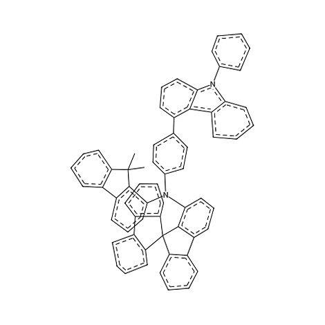 CC1(C)c2ccccc2-c2cccc(N(c3ccc(-c4cccc5c4c4ccccc4n5-c4ccccc4)cc3)c3cccc4c3C3(c5ccccc5-c5ccccc53)c3ccccc3-4)c21